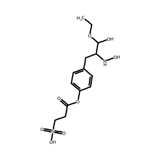 CCOC(O)C(Cc1ccc(OC(=O)CCS(=O)(=O)O)cc1)NO